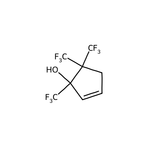 OC1(C(F)(F)F)C=CCC1(C(F)(F)F)C(F)(F)F